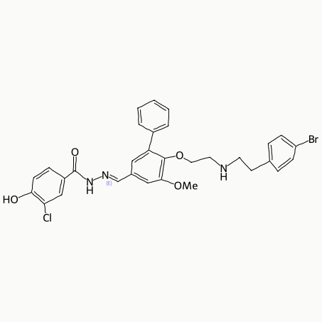 COc1cc(/C=N/NC(=O)c2ccc(O)c(Cl)c2)cc(-c2ccccc2)c1OCCNCCc1ccc(Br)cc1